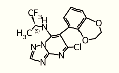 C[C@H](Nc1c(-c2cccc3c2OCCO3)c(Cl)nc2ncnn12)C(F)(F)F